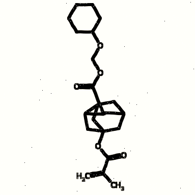 C=C(C)C(=O)OC12CC3CC(C1)C(C2)C(C(=O)OCOC1CCCCC1)C3